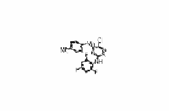 N#Cc1ccc(Nc2nc(Nc3c(F)cc(I)cc3F)nnc2Cl)cc1